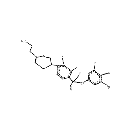 CCCC1CCC(c2ccc(C(F)(F)Oc3cc(F)c(F)c(F)c3)c(F)c2F)CC1